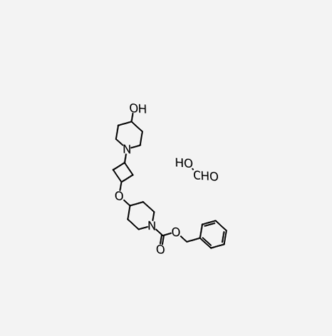 O=C(OCc1ccccc1)N1CCC(OC2CC(N3CCC(O)CC3)C2)CC1.O=CO